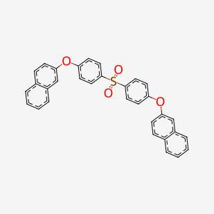 O=S(=O)(c1ccc(Oc2ccc3ccccc3c2)cc1)c1ccc(Oc2ccc3ccccc3c2)cc1